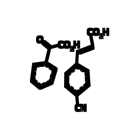 N#Cc1ccc(C=CC(=O)O)cc1.O=C(O)C(=O)c1ccccc1